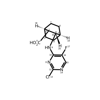 O=C(O)C1[C@H]2CC[C@H](CC2)[C@@H]1Nc1nc(Cl)ncc1F